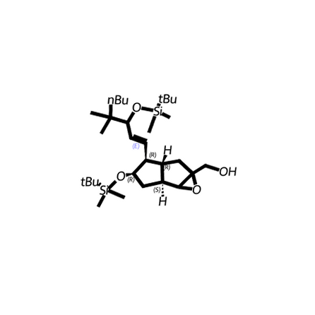 CCCCC(C)(C)C(/C=C/[C@H]1[C@@H]2CC3(CO)OC3[C@H]2C[C@H]1O[Si](C)(C)C(C)(C)C)O[Si](C)(C)C(C)(C)C